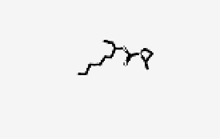 CCCCCCC(CC)OC(=O)N1CCC1C